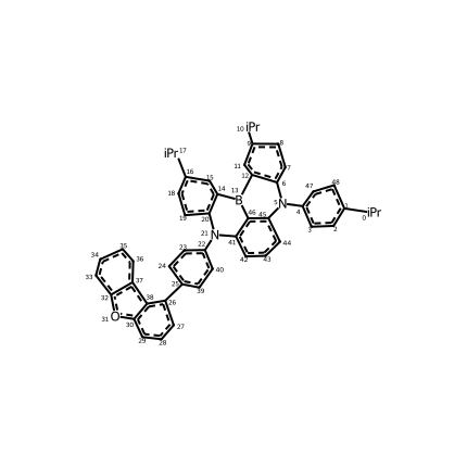 CC(C)c1ccc(N2c3ccc(C(C)C)cc3B3c4cc(C(C)C)ccc4N(c4ccc(-c5cccc6oc7ccccc7c56)cc4)c4cccc2c43)cc1